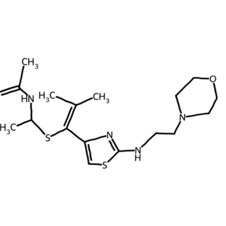 CC(=O)NC(C)SC(=C(C)C)c1csc(NCCN2CCOCC2)n1